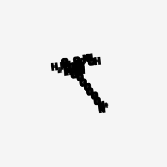 CC(C)[C@H](NC(=O)CCOCCOCCOCCOCCOCCOCCN=[N+]=[N-])C(=O)N[C@@H](CCCNC(N)=O)C(=O)Nc1ccc(-n2ccnc2CO)cc1